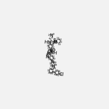 CN(C)CCC(CSc1ccccc1)Nc1ccc(S(=O)(=O)Nc2ncnc3cc(N4CCN(Cc5ccccc5-c5ccc(Cl)cc5)CC4)ccc23)cc1C#N